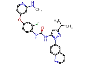 CNc1cc(Oc2ccc(NC(=O)Nc3cc(C(C)C)nn3-c3ccc4ncccc4c3)c(F)c2)ccn1